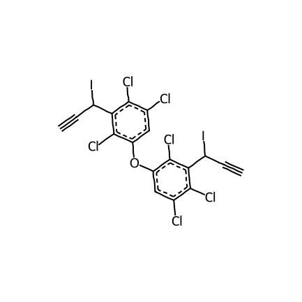 C#CC(I)c1c(Cl)c(Cl)cc(Oc2cc(Cl)c(Cl)c(C(I)C#C)c2Cl)c1Cl